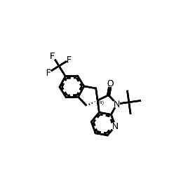 CC(C)(C)N1C(=O)[C@@]2(Cc3ccc(C(F)(F)F)cc3C2)c2cccnc21